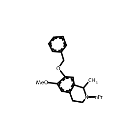 CCCN1CCc2cc(OC)c(OCc3ccccc3)cc2C1C